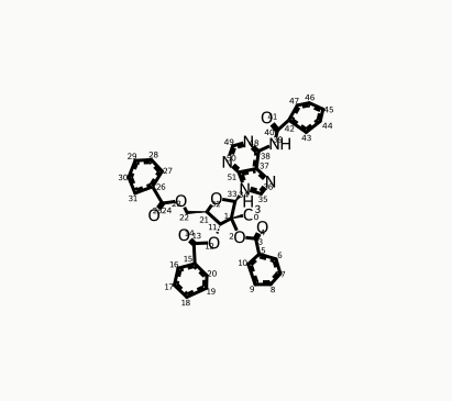 C[C@@]1(OC(=O)c2ccccc2)[C@H](OC(=O)c2ccccc2)[C@@H](COC(=O)c2ccccc2)O[C@H]1n1cnc2c(NC(=O)c3ccccc3)ncnc21